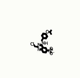 CC(C)Oc1ccc(CNc2nc(CCl)nc3ccc([N+](=O)[O-])cc23)cc1